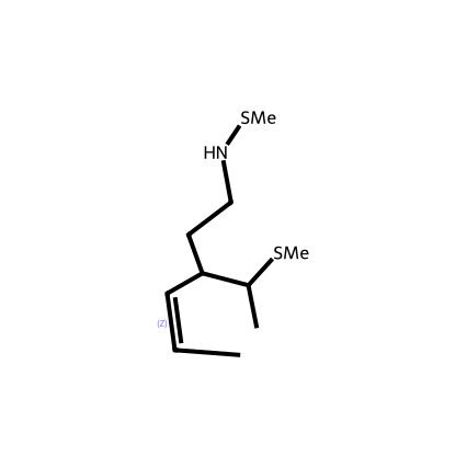 C/C=C\C(CCNSC)C(C)SC